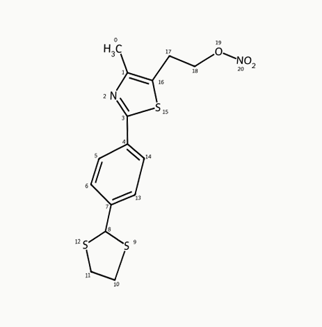 Cc1nc(-c2ccc(C3SCCS3)cc2)sc1CCO[N+](=O)[O-]